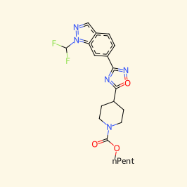 CCCCCOC(=O)N1CCC(c2nc(-c3ccc4cnn(C(F)F)c4c3)no2)CC1